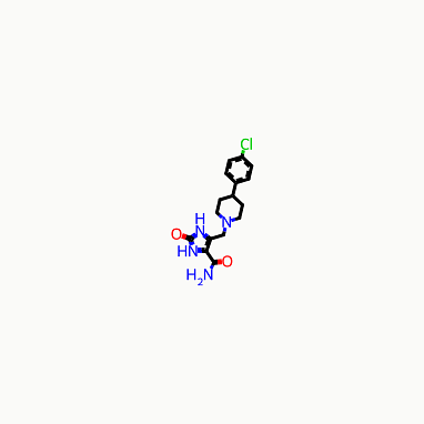 NC(=O)c1[nH]c(=O)[nH]c1CN1CCC(c2ccc(Cl)cc2)CC1